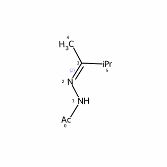 CC(=O)N/N=C(/C)C(C)C